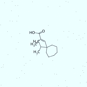 CC(=CC1(C(C)C)CCCCCC1)C(=O)O